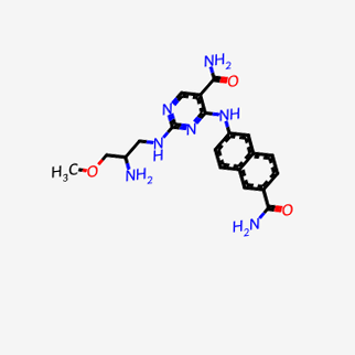 COCC(N)CNc1ncc(C(N)=O)c(Nc2ccc3cc(C(N)=O)ccc3c2)n1